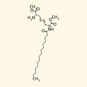 CCCCCCCCCCCCCCCC(=O)N[C@@H](CSSCC(N)C(=O)OC)C(=O)OC